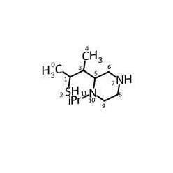 CC(S)C(C)C1CNCCN1C(C)C